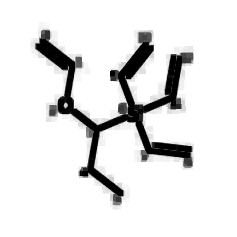 C=COC(CC)[Si](C=C)(C=C)C=C